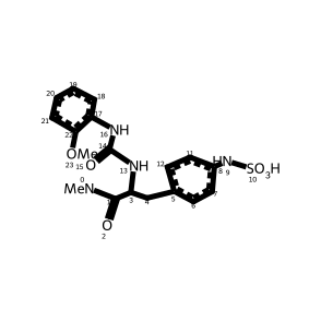 CNC(=O)C(Cc1ccc(NS(=O)(=O)O)cc1)NC(=O)Nc1ccccc1OC